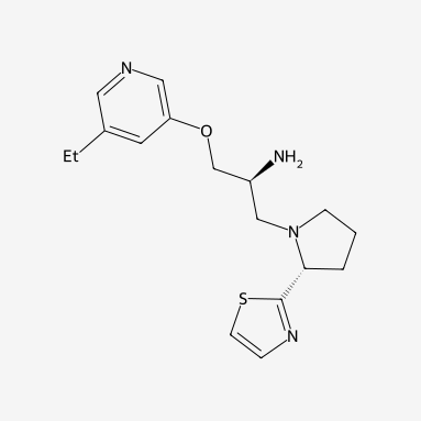 CCc1cncc(OC[C@@H](N)CN2CCC[C@@H]2c2nccs2)c1